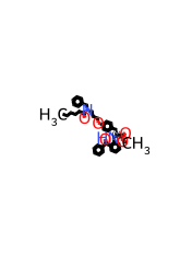 CCCCCC(=O)N(CCCOc1ccc(C[C@H](Nc2ccccc2C(=O)c2ccccc2)C(=O)OC)cc1)Cc1ccccc1